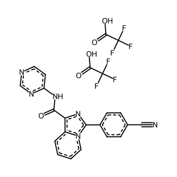 N#Cc1ccc(-c2nc(C(=O)Nc3ccncn3)c3ccccn23)cc1.O=C(O)C(F)(F)F.O=C(O)C(F)(F)F